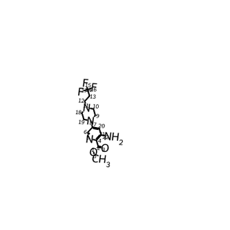 COC(=O)c1ncc(N2CCN(CCC(F)(F)F)CC2)cc1N